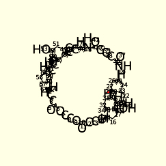 C[C@@H]1CCC(=O)OCCOC(=O)CCC[C@H]2CC[C@H]3[C@@H]4[C@@H](O)CC5C[C@@H](CC[C@]5(C)[C@H]4CC[C@]23C)NC(=O)CCCC(=O)N[C@@H]2CC[C@@]3(C)C(C2)C[C@H](O)[C@H]2[C@@H]4CC[C@H]1[C@@]4(C)CC[C@@H]23